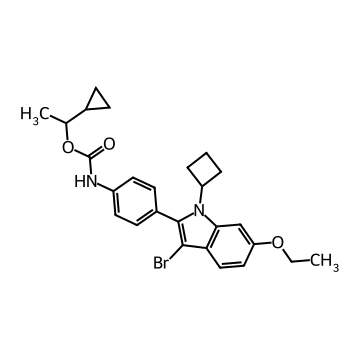 CCOc1ccc2c(Br)c(-c3ccc(NC(=O)OC(C)C4CC4)cc3)n(C3CCC3)c2c1